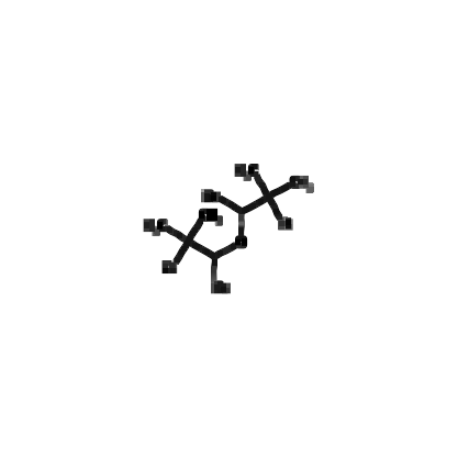 CCC(C)C(OC(C(C)CC)C(C)(C)CC)C(C)(C)CC